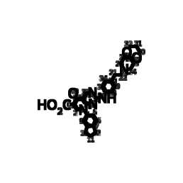 O=C(O)c1cn(-c2ccc3c(c2)CCC3)c2nc(Nc3ccc(CCN4CCC5(CC4)OCCCO5)cc3)ncc2c1=O